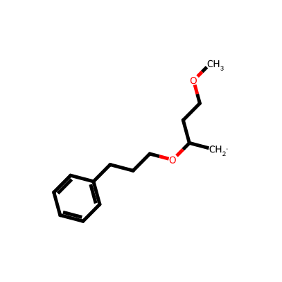 [CH2]C(CCOC)OCCCc1ccccc1